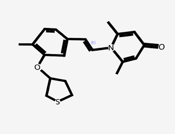 Cc1ccc(/C=C/n2c(C)cc(=O)cc2C)cc1OC1CCSC1